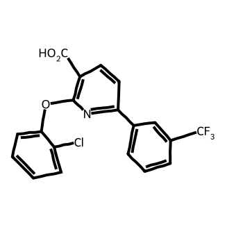 O=C(O)c1ccc(-c2cccc(C(F)(F)F)c2)nc1Oc1ccccc1Cl